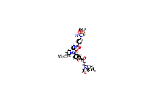 COC1CCC([C@@H]2CCN(C(=O)[C@H]3CC[C@H]([C@@H](CF)NC(=O)OC(C)(C)C)CC3)[C@@H]2C(=O)Nc2ccc3oc(C(=O)OCCCN4CCOCC4(C)C)cc3c2)CC1